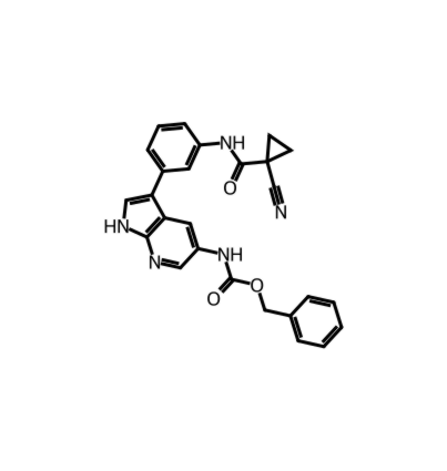 N#CC1(C(=O)Nc2cccc(-c3c[nH]c4ncc(NC(=O)OCc5ccccc5)cc34)c2)CC1